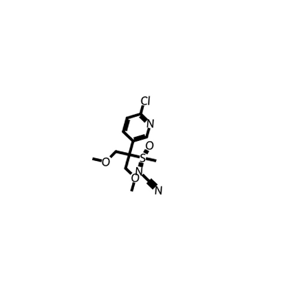 COCC(COC)(c1ccc(Cl)nc1)S(C)(=O)=NC#N